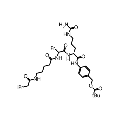 CC(C)CC(=O)NCCCCC(=O)NC(C(=O)N[C@@H](CCCNC(N)=O)C(=O)Nc1ccc(COC(=O)C(C)(C)C)cc1)C(C)C